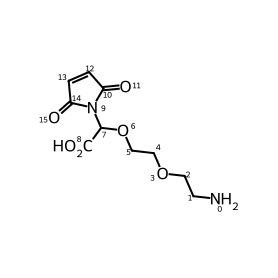 NCCOCCOC(C(=O)O)N1C(=O)C=CC1=O